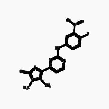 Cc1c(-c2ccnc(Nc3ccc(F)c([N+](=O)[O-])c3)n2)sc(=O)n1C